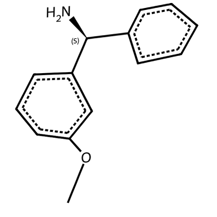 COc1cccc([C@@H](N)c2ccccc2)c1